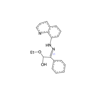 CCOC(O)/C(=N\Nc1cccc2cccnc12)c1ccccc1